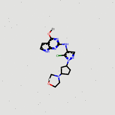 CCOc1nc(Nc2cnn(C3CCC(N4CCOCC4)C3)c2Cl)nc2[nH]ccc12